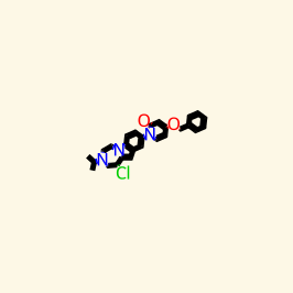 CC(C)N1CCn2c(cc3cc(-n4ccc(OCc5ccccc5)cc4=O)ccc32)C(Cl)C1